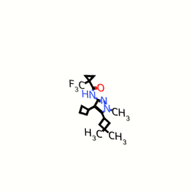 Cn1nc(NC(=O)C2(C(F)(F)F)CC2)c(C2CCC2)c1C1CC(C)(C)C1